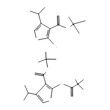 CC(C)c1csc(N)c1C(=O)OC(C)(C)C.CC(C)c1csc(NC(=O)C(F)(F)F)c1C(=O)OC(C)(C)C